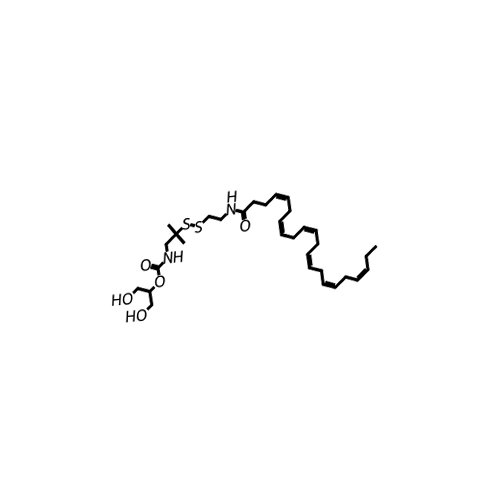 CC/C=C\C/C=C\C/C=C\C/C=C\C/C=C\C/C=C\CCC(=O)NCCSSC(C)(C)CNC(=O)OC(CO)CO